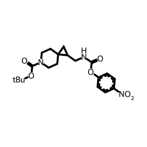 CC(C)(C)OC(=O)N1CCC2(CC1)CC2CNC(=O)Oc1ccc([N+](=O)[O-])cc1